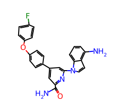 NC(=O)c1cc(-c2ccc(Oc3ccc(F)cc3)cc2)cc(-n2ccc3c(N)cccc32)n1